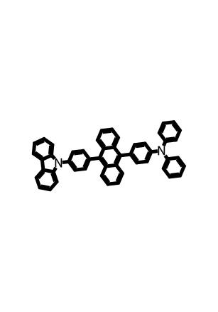 c1ccc(N(c2ccccc2)c2ccc(-c3c4ccccc4c(-c4ccc(-n5c6ccccc6c6ccccc65)cc4)c4ccccc34)cc2)cc1